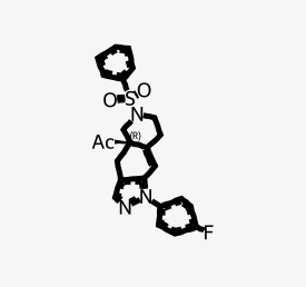 CC(=O)[C@]12Cc3cnn(-c4ccc(F)cc4)c3C=C1CCN(S(=O)(=O)c1ccccc1)C2